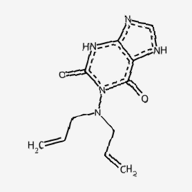 C=CCN(CC=C)n1c(=O)[nH]c2nc[nH]c2c1=O